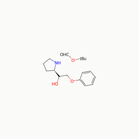 CC(C)(C)OC=O.OC(COc1ccccc1)[C@H]1CCCN1